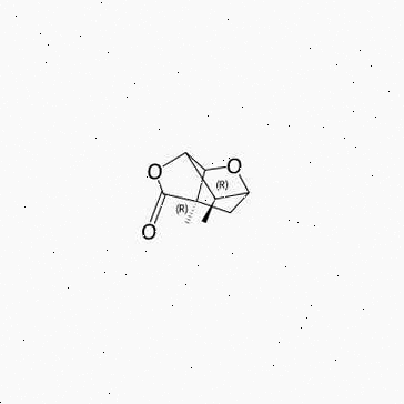 C[C@@H]1C2C[C@@]3(C)C(=O)OC1C3O2